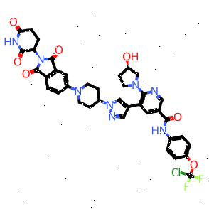 O=C1CCC(N2C(=O)c3ccc(N4CCC(n5cc(-c6cc(C(=O)Nc7ccc(OC(F)(F)Cl)cc7)cnc6N6CC[C@@H](O)C6)cn5)CC4)cc3C2=O)C(=O)N1